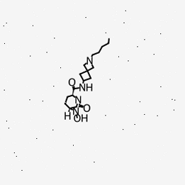 CCCCCN1CC2(CC(NC(=O)[C@@H]3CC[C@@H]4CN3C(=O)N4O)C2)C1